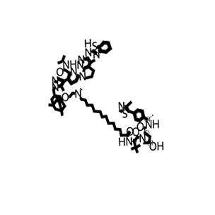 Cc1ncsc1-c1ccc([C@H](C)NC(=O)[C@@H]2C[C@@H](O)CN2C(=O)[C@@H](NC(=O)CCCCCCCCCCCCCN(C)CCOC23CC4(C)CC(C)(CC(Cn5ncc(-c6ccc(N7CCCc8c7nnc(Nc7nc9ccccc9s7)c8C)nc6C(=O)NC(C)C)c5C)(C4)C2)C3)C(C)(C)C)cc1